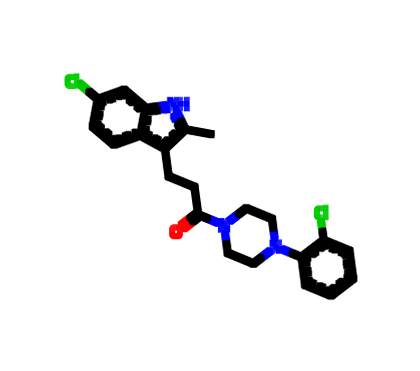 Cc1[nH]c2cc(Cl)ccc2c1CCC(=O)N1CCN(c2ccccc2Cl)CC1